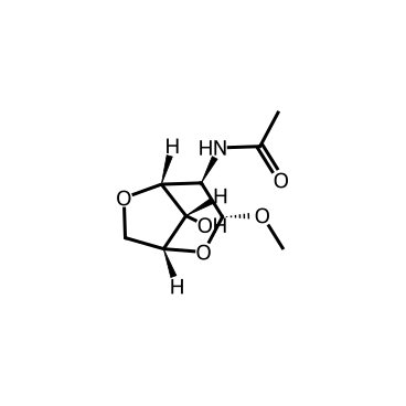 CO[C@@H]1O[C@@H]2CO[C@@H]([C@@H]2O)[C@H]1NC(C)=O